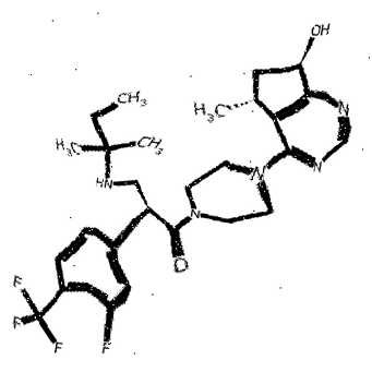 CCC(C)(C)NC[C@@H](C(=O)N1CCN(c2ncnc3c2[C@H](C)C[C@H]3O)CC1)c1ccc(C(F)(F)F)c(F)c1